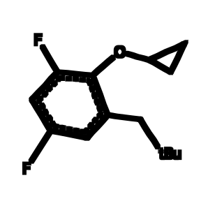 CC(C)(C)Cc1cc(F)cc(F)c1OC1CC1